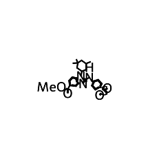 COC(=O)c1ccc2c(c1)nc(Nc1ccc(S(C)(=O)=O)cc1)n2C1CC(C)CC(C)(C)C1